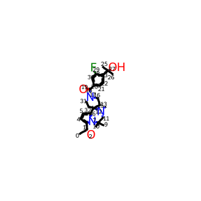 CC(=O)c1ccc2n1C(C)(C)CN(C)C21CCN(C(=O)c2ccc(C(C)(C)O)c(F)c2)CC1